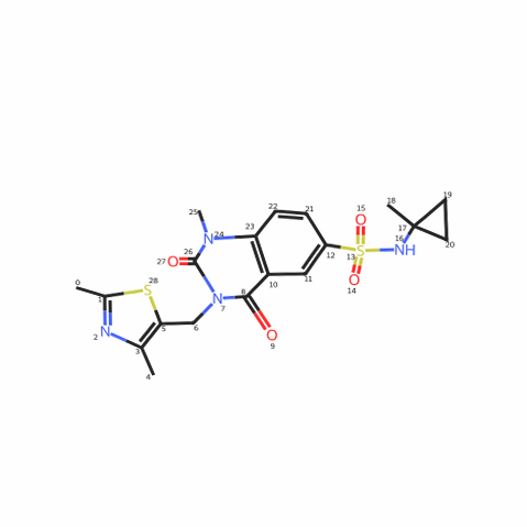 Cc1nc(C)c(Cn2c(=O)c3cc(S(=O)(=O)NC4(C)CC4)ccc3n(C)c2=O)s1